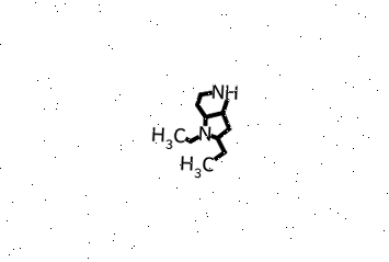 CCC1CC2CNCCC2N1CC